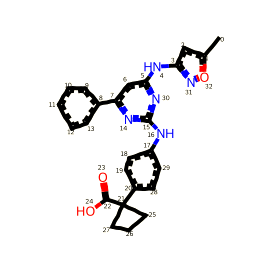 Cc1cc(Nc2cc(-c3ccccc3)nc(Nc3ccc(C4(C(=O)O)CCC4)cc3)n2)no1